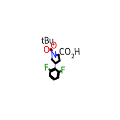 CC(C)(C)OC(=O)N1C[C@@H](c2c(F)cccc2F)CC1C(=O)O